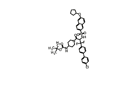 CC(C)(C)OC(=O)NC1CCN(C(=O)C(NS(=O)(=O)c2ccc3cc(OC4CCCC4)ccc3c2)C(F)(F)c2ccc(-c3ccc(Cl)cc3)cc2)CC1